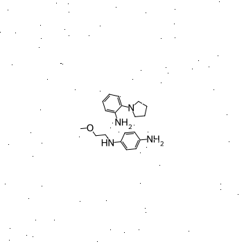 COCCNc1ccc(N)cc1.Nc1ccccc1N1CCCC1